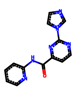 O=C(Nc1ccccn1)c1ccnc(-n2ccnc2)n1